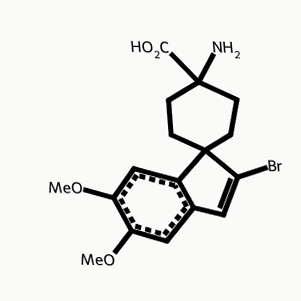 COc1cc2c(cc1OC)C1(CCC(N)(C(=O)O)CC1)C(Br)=C2